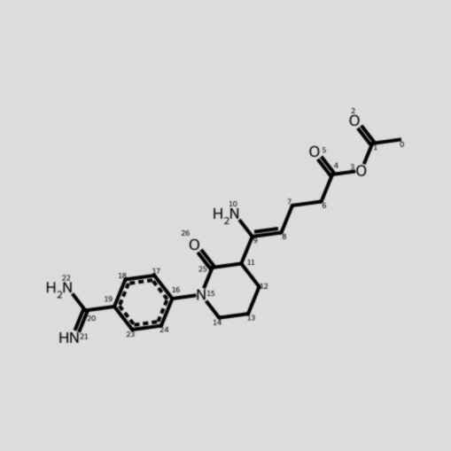 CC(=O)OC(=O)CCC=C(N)C1CCCN(c2ccc(C(=N)N)cc2)C1=O